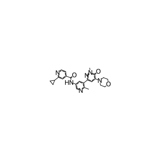 Cc1ncc(NC(=O)c2ccnc(C3CC3)c2)cc1-c1cc(N2CCOCC2)c(=O)n(C)n1